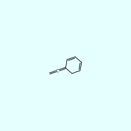 C=C=C1C=CC=CC1